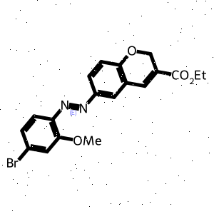 CCOC(=O)C1=Cc2cc(/N=N/c3ccc(Br)cc3OC)ccc2OC1